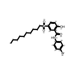 CCCCCCCCCCS(=O)(=O)c1ccc(O)c(C(=O)Nc2ccc(Br)cc2)c1